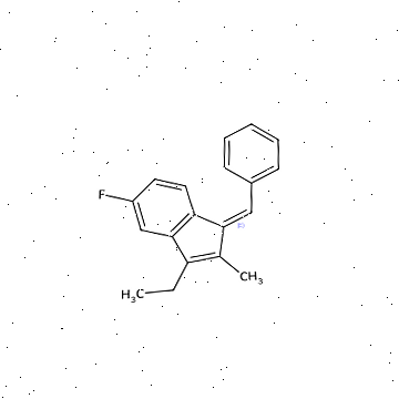 CCC1=C(C)/C(=C/c2ccccc2)c2ccc(F)cc21